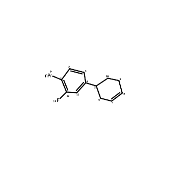 CCCc1ccc(C2CC=CCC2)cc1F